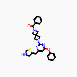 O=C(c1ccccc1)N1CC2(C1)CN(c1nc(C=C3CNCS3)cc(Oc3ccccc3)n1)C2